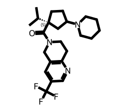 CC(C)[C@]1(C(=O)N2CCc3ncc(C(F)(F)F)cc3C2)CCC(N2CCCCC2)C1